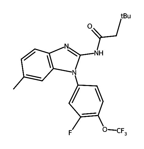 Cc1ccc2nc(NC(=O)CC(C)(C)C)n(-c3ccc(OC(F)(F)F)c(F)c3)c2c1